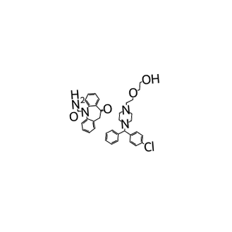 NC(=O)N1c2ccccc2CC(=O)c2ccccc21.OCCOCCN1CCN(C(c2ccccc2)c2ccc(Cl)cc2)CC1